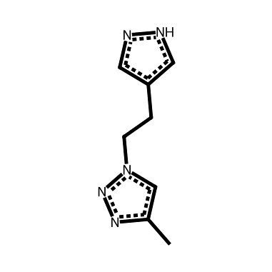 Cc1cn(CCc2cn[nH]c2)nn1